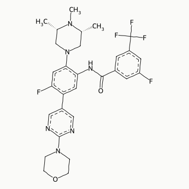 C[C@@H]1CN(c2cc(F)c(-c3cnc(N4CCOCC4)nc3)cc2NC(=O)c2cc(F)cc(C(F)(F)F)c2)C[C@H](C)N1C